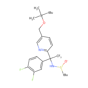 CC(C)(C)[S+]([O-])NC(c1ccc(F)c(F)c1)(c1ccc(CO[Si](C)(C)C(C)(C)C)cn1)C(F)(F)F